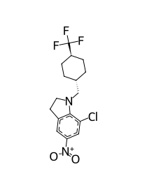 O=[N+]([O-])c1cc(Cl)c2c(c1)CCN2C[C@H]1CC[C@H](C(F)(F)F)CC1